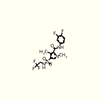 Cc1c(S(=O)(=O)NCC(F)(F)F)cn(C)c1C(=O)Nc1ccc(F)c(F)c1